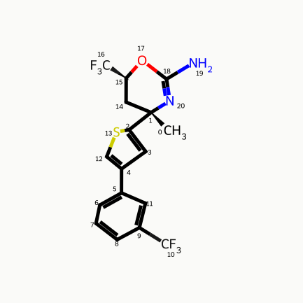 C[C@@]1(c2cc(-c3cccc(C(F)(F)F)c3)cs2)C[C@@H](C(F)(F)F)OC(N)=N1